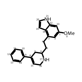 COc1cc(CCC2CC(c3ccccc3)=CCN2)c2cc[nH]c2c1